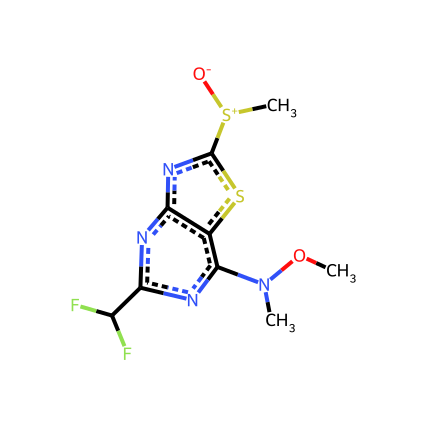 CON(C)c1nc(C(F)F)nc2nc([S+](C)[O-])sc12